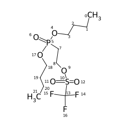 CCCCOP(=O)(CCOS(=O)(=O)C(F)(F)F)OCCCC